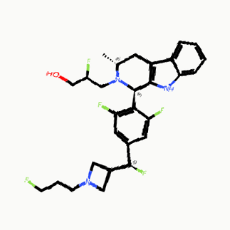 C[C@@H]1Cc2c([nH]c3ccccc23)[C@@H](c2c(F)cc([C@@H](F)C3CN(CCCF)C3)cc2F)N1CC(F)CO